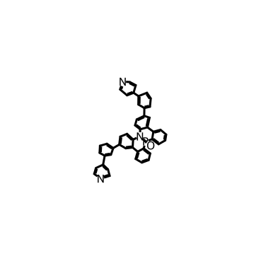 O=P12c3ccccc3-c3cc(-c4cccc(-c5ccncc5)c4)ccc3N1c1ccc(-c3cccc(-c4ccncc4)c3)cc1-c1ccccc12